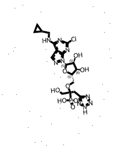 O=P(O)(O)C(CO)(Cc1nn[nH]n1)OC[C@@H]1O[C@H](n2ncc3c(NCC4CC4)nc(Cl)nc32)[C@@H](O)[C@H]1O